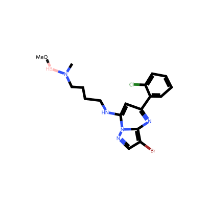 COBN(C)CCCCNc1cc(-c2ccccc2Cl)nc2c(Br)cnn12